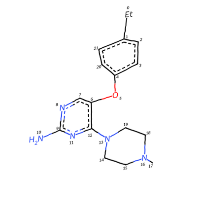 CCc1ccc(Oc2cnc(N)nc2N2CCN(C)CC2)cc1